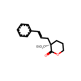 CCOC(=O)[C@]1(C/C=C/c2ccccc2)CCCOC1=O